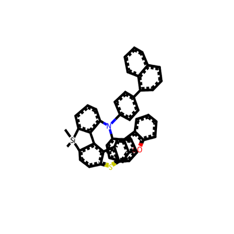 C[Si]1(C)c2cccc(N(c3ccc(-c4cccc5ccccc45)cc3)c3cccc4oc5ccccc5c34)c2-c2c1ccc1sc3ccccc3c21